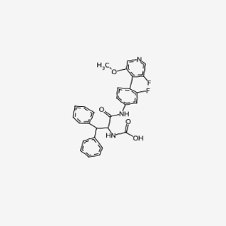 COc1cncc(F)c1-c1ccc(NC(=O)C(NC(=O)O)C(c2ccccc2)c2ccccc2)cc1F